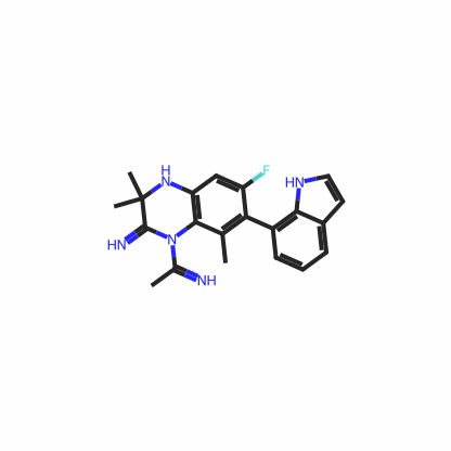 CC(=N)N1C(=N)C(C)(C)Nc2cc(F)c(-c3cccc4cc[nH]c34)c(C)c21